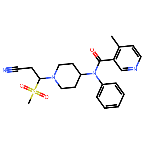 Cc1ccncc1C(=O)N(c1ccccc1)C1CCN(C(CC#N)S(C)(=O)=O)CC1